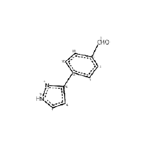 O=[C]c1ccc(-c2cc[nH]n2)cc1